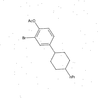 CCCC1CCC(c2ccc(OC(C)=O)c(Br)c2)CC1